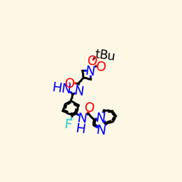 CC(C)(C)OC(=O)N1CC(C2=NC(c3ccc(F)c(NC(=O)c4cnc5ccccn45)c3)NO2)C1